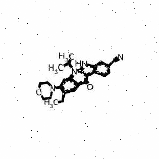 CCc1cc2c(=O)c3c4ccc(C#N)cc4[nH]c3n(C(C)C)c2cc1N1CCOCC1